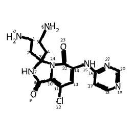 NCCC1(CCN)NC(=O)c2c(Cl)cc(Nc3ccncn3)c(=O)n21